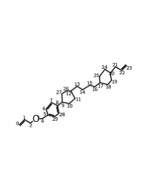 C=CCOCc1ccc(C2CCC(CCCCC3CCC(CC=C)CC3)CC2)cc1